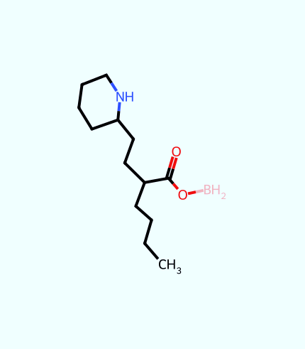 BOC(=O)C(CCCC)CCC1CCCCN1